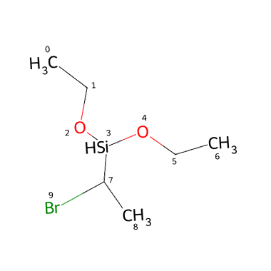 CCO[SiH](OCC)C(C)Br